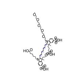 COCCOCCOCCOCCOCCN1/C(=C/C=C/C=C/C=C/C2=[N+](CCCCCC(=O)O)c3ccc(S(=O)(=O)O)cc3C2(C)CCOC)C(C)(CCCS(=O)(=O)O)c2cc(S(=O)(=O)O)ccc21